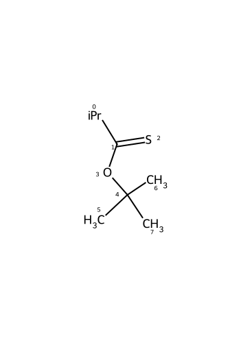 CC(C)C(=S)OC(C)(C)C